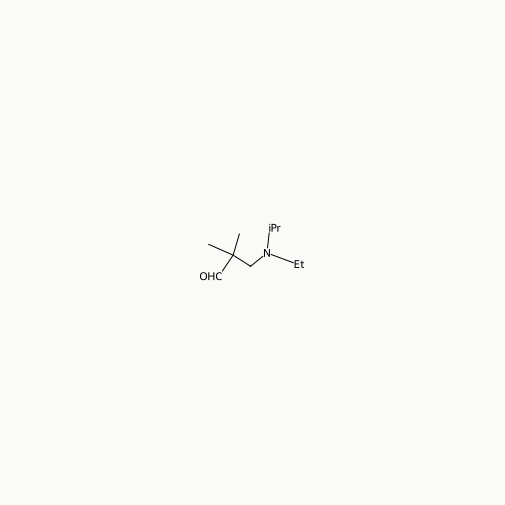 CCN(CC(C)(C)C=O)C(C)C